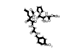 C=CCC(NC(=O)[C@@H]1CCCN1C(=O)[C@@H](NC(=O)OC(C)(C)C)C(C)(C)C)C(=O)C(=O)NCC(=O)NCc1ccc([N+](=O)[O-])cc1